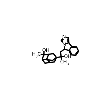 CC1(O)C2CC3CC1CC(C(C)(O)CC1c4ccccc4-c4cncn41)(C3)C2